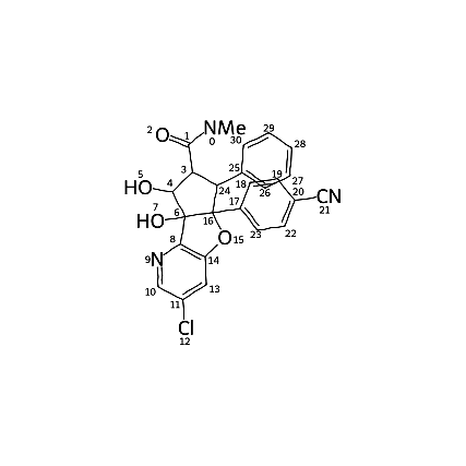 CNC(=O)C1C(O)C2(O)c3ncc(Cl)cc3OC2(c2ccc(C#N)cc2)C1c1ccccc1